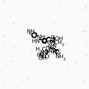 CC1(C)[C@H](NC(=O)/C(=N\O[C@](C)(C(=O)O)[C@H]2CCc3cc(C(=N)N[C@H]4CC[C@H](CN)CC4)ccc3O2)c2csc(N)n2)C(=O)N1OS(=O)(=O)O